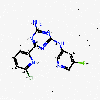 Nc1nc(Nc2cncc(F)c2)nc(-c2cccc(Cl)n2)n1